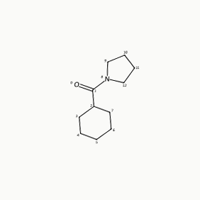 O=C(C1CCCCC1)N1CCCC1